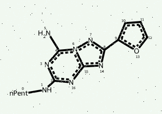 CCCCCNc1nc(N)n2nc(-c3ccco3)nc2n1